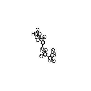 COc1cc(-c2cn(C)c(=O)c3cnc(N4CCC4)cc23)cc(OC)c1CN1CC(c2ccc3c(c2)C(=O)N(C2CCC(=O)NC2=O)C3=O)C1